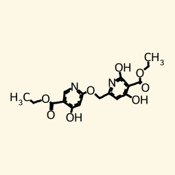 CCOC(=O)c1cnc(OCc2cc(O)c(C(=O)OCC)c(O)n2)cc1O